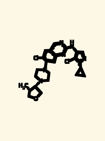 C[C@@H]1COC[C@@H]1N1CCN(c2cc3nc(Nc4cnn(C5CC5)c4Cl)ncc3cc2Cl)CC1